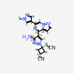 Cn1cc(-c2cn3nccc3c(-c3cn([C@]4(CC#N)C[C@@H](C#N)C4)nc3N)n2)cn1